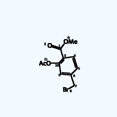 COC(=O)c1ccc(CBr)cc1OC(C)=O